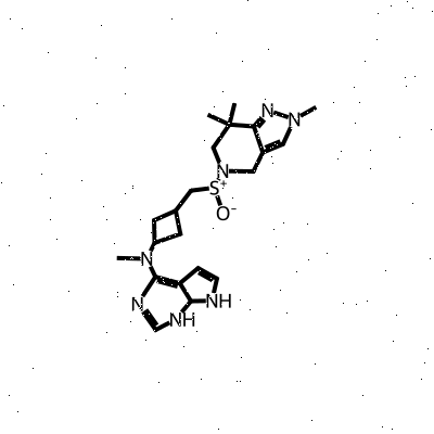 CN(C1=C2C=CNC2NC=N1)C1CC(C[S+]([O-])N2Cc3cn(C)nc3C(C)(C)C2)C1